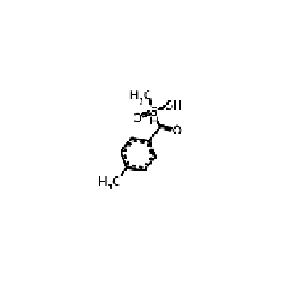 Cc1ccc(C(=O)[SH](C)(=O)S)cc1